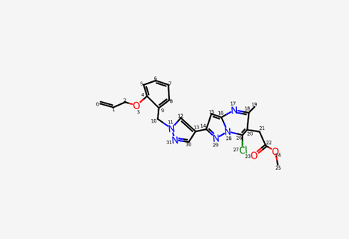 C=CCOc1ccccc1Cn1cc(-c2cc3nc(C)c(CC(=O)OC)c(Cl)n3n2)cn1